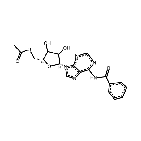 CC(=O)OC[C@H]1O[C@@H](n2cnc3c(NC(=O)c4ccccc4)ncnc32)C(O)C1O